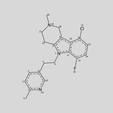 Cc1ccc(CCn2c3c(c4c(Cl)ccc(F)c42)CN(C)CC3)cn1